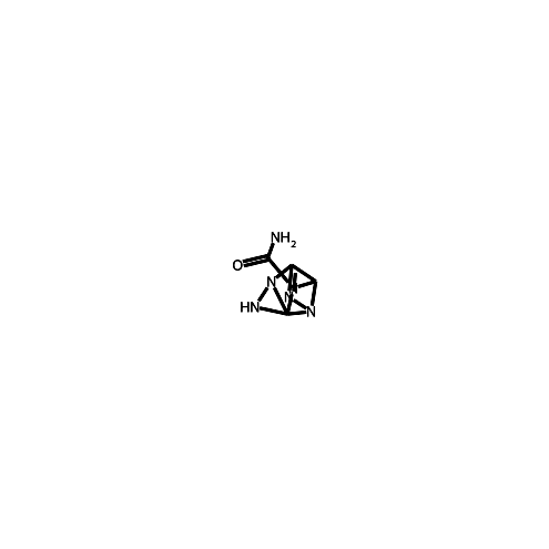 NC(=O)N1C2C3=NN2C12NN32